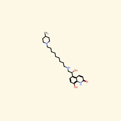 CC1CCN(CCCCCCCCCNC[C@@H](O)c2ccc(O)c3[nH]c(=O)ccc23)CC1